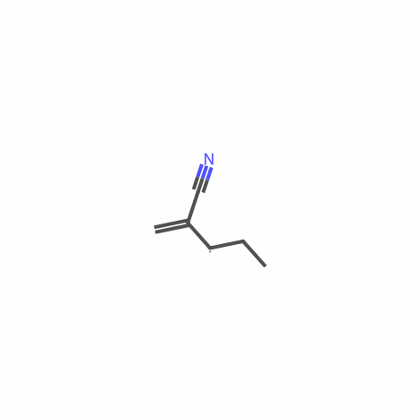 C=C(C#N)[CH]CC